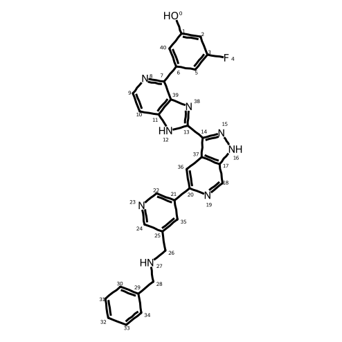 Oc1cc(F)cc(-c2nccc3[nH]c(-c4n[nH]c5cnc(-c6cncc(CNCc7ccccc7)c6)cc45)nc23)c1